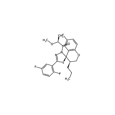 CCC[C@@H]1COc2ccc(F)cc2[C@]12SC(c1cc(F)ccc1F)=NN2C(=O)[C@H](C)OC